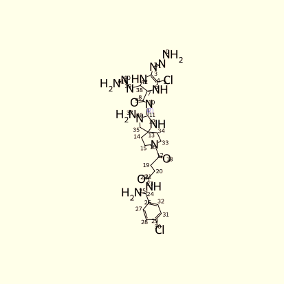 NN=NC1=C(Cl)NC(C(=O)/N=C2/NC3(CCN(C(=O)CCC(=O)NC(N)c4ccc(Cl)cc4)CC3)CN2N)C(N=NN)N1